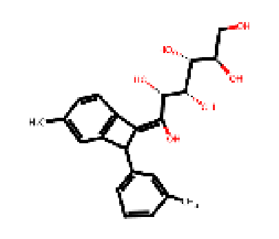 Cc1cccc(C2C(=C(O)[C@H](O)[C@@H](O)[C@H](O)[C@H](O)CO)c3ccc(C)cc32)c1